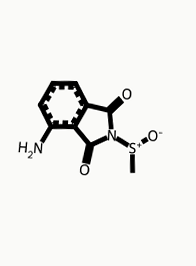 C[S+]([O-])N1C(=O)c2cccc(N)c2C1=O